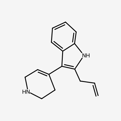 C=CCc1[nH]c2ccccc2c1C1=CCNCC1